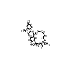 CCCc1cc(Cl)ccc1C1COc2ccc3cc2N(CCCC/C=C/CN(C)C(=O)C[C@@]3(O)C(=O)O)C1